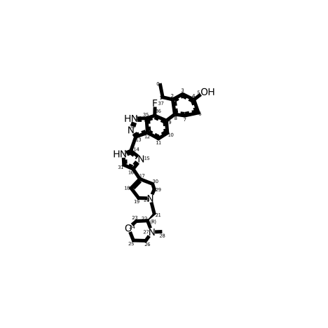 CCc1cc(O)ccc1-c1ccc2c(-c3nc(C4=CCN(C[C@@H]5COCCN5C)CC4)c[nH]3)n[nH]c2c1F